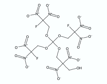 O=[N+]([O-])C(F)(COC(OCC(F)([N+](=O)[O-])[N+](=O)[O-])(OCC(F)([N+](=O)[O-])[N+](=O)[O-])OCC(CO)([N+](=O)[O-])[N+](=O)[O-])[N+](=O)[O-]